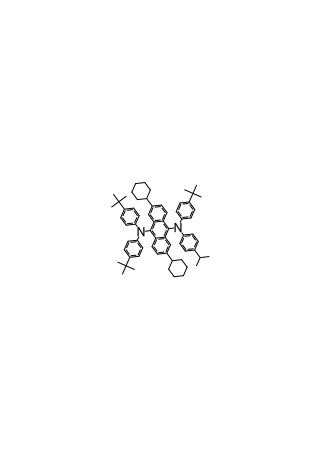 CC(C)c1ccc(N(c2ccc(C(C)(C)C)cc2)c2c3ccc(C4CCCCC4)cc3c(N(c3ccc(C(C)(C)C)cc3)c3ccc(C(C)(C)C)cc3)c3ccc(C4CCCCC4)cc23)cc1